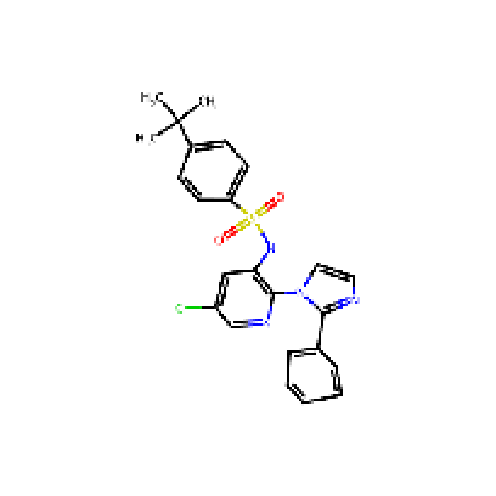 CC(C)(C)c1ccc(S(=O)(=O)Nc2cc(Cl)cnc2-n2ccnc2-c2ccccc2)cc1